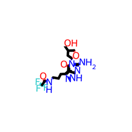 Nc1nc2[nH]nc(CCCNC(=O)C(F)(F)F)c2c(=O)n1[C@H]1CC(CO)CO1